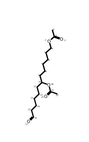 CC(=O)OCCCCCCC(CCCCCC=O)OC(C)=O